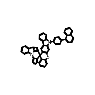 c1ccc2c(c1)Sc1cc3c(cc1C21c2ccccc2-n2c4ccccc4c4cccc1c42)c1ccccc1n3-c1ccc(-c2cccc3ccccc23)cc1